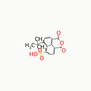 CC(C)(C)c1ccc2c3c(ccc(S(=O)(=O)O)c13)C(=O)OC2=O